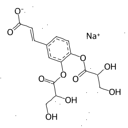 O=C([O-])C=Cc1ccc(OC(=O)C(O)CO)c(OC(=O)C(O)CO)c1.[Na+]